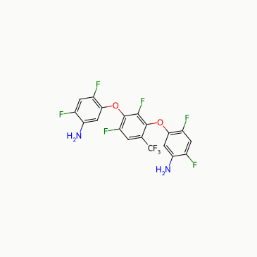 Nc1cc(Oc2c(F)cc(C(F)(F)F)c(Oc3cc(N)c(F)cc3F)c2F)c(F)cc1F